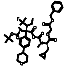 CCC(C(C)(C)F)[C@@](C(=O)OC(=O)N(C)[C@@H](CC1CC1)C(=O)OCC(=O)OCc1ccccc1)(c1ccc(C2CCOCC2)cc1)N(C)C(=O)OC(C)(C)C